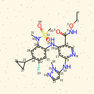 CCONC(=O)c1cnc(Nc2ccnn2C)cc1Nc1cc(F)c(C2CC2)cc1N(C)S(C)(=O)=O